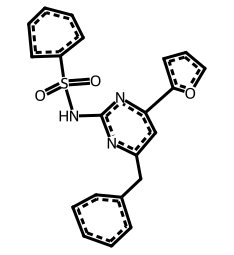 O=S(=O)(Nc1nc(Cc2ccccc2)cc(-c2ccco2)n1)c1ccccc1